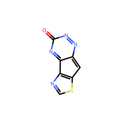 O=C1N=NC2=Cc3scnc3C2=N1